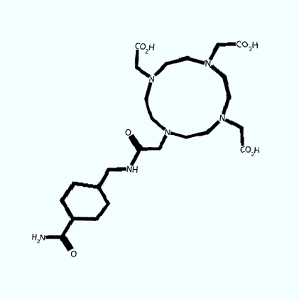 NC(=O)C1CCC(CNC(=O)CN2CCN(CC(=O)O)CCN(CC(=O)O)CCN(CC(=O)O)CC2)CC1